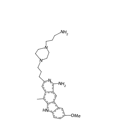 COc1ccc2[nH]c3c(C)c4cc(CCCN5CCN(CCCN)CC5)nc(N)c4cc3c2c1